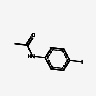 CC(=O)Nc1[c]cc(I)cc1